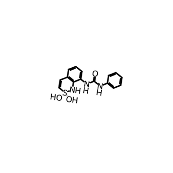 O=C(Nc1ccccc1)Nc1cccc2c1NS(O)(O)C=C2